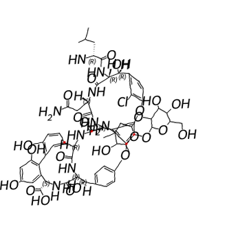 CN[C@H](CC(C)C)C(=O)N[C@H]1C(=O)N[C@@H](CC(N)=O)C(=O)N[C@H]2C(=O)N[C@H]3C(=O)N[C@H](C(=O)N[C@H](C(=O)O)c4cc(O)cc(O)c4-c4cc3ccc4O)[C@H](O)c3ccc(cc3)Oc3cc2cc(c3OC2OC(CO)C(O)C(O)C2OC2CC(C)(N)C(O)C(C)O2)Oc2ccc(cc2Cl)[C@H]1O